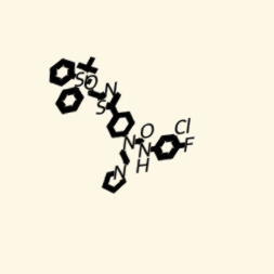 CC(C)(C)[Si](OCc1ncc(C2=CCC(N(CCN3CCCC3)C(=O)Nc3ccc(F)c(Cl)c3)CC2)s1)(c1ccccc1)c1ccccc1